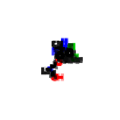 CCN(CCO)CCCOc1cc2ncc(C#N)c(Nc3cc(OC)c(Cl)cc3Cl)c2cc1OC